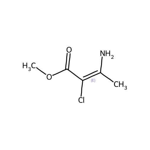 COC(=O)/C(Cl)=C(/C)N